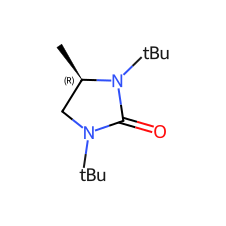 C[C@@H]1CN(C(C)(C)C)C(=O)N1C(C)(C)C